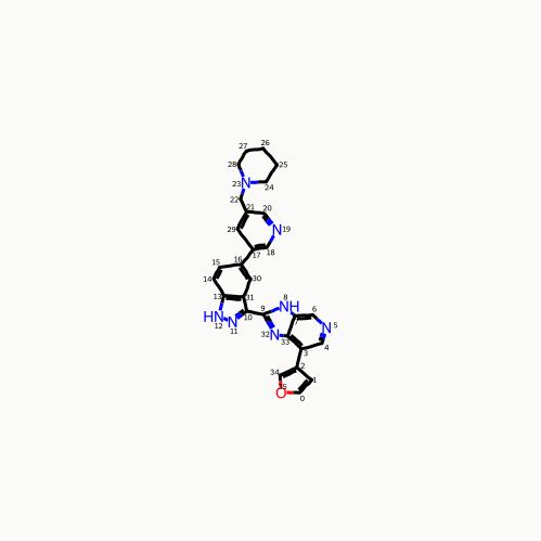 c1cc(-c2cncc3[nH]c(-c4n[nH]c5ccc(-c6cncc(CN7CCCCC7)c6)cc45)nc23)co1